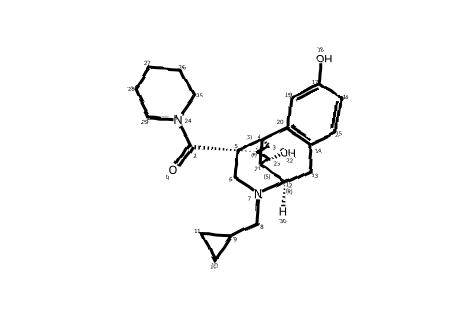 O=C([C@@H]1C[C@]23CCN(CC4CC4)[C@H](Cc4ccc(O)cc42)[C@]3(O)C1)N1CCCCC1